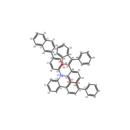 c1ccc(-c2ccc(-c3ccccc3N(c3ccc(-c4ccc5ccccc5c4)cc3)c3ccccc3-c3oc4ccccc4c3-c3ccccc3)cc2)cc1